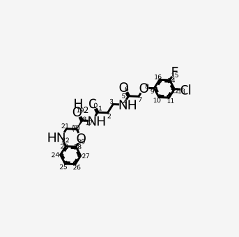 C=C(CCNC(=O)COc1ccc(Cl)c(F)c1)NC(=O)[C@@H]1CNc2ccccc2O1